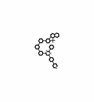 CC1(C)c2ccc(-c3cccc(-c4cccc(-c5cccc(-c6cc(-c7ccc(-c8ccncc8)cc7)nc(-c7ccccc7)n6)c5)c4)c3)cc2-c2ccc3ccccc3c21